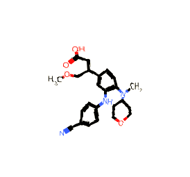 COCC(CC(=O)O)c1ccc(N(C)C2CCOCC2)c(Nc2ccc(C#N)cc2)c1